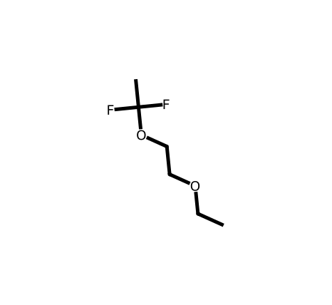 CCOCCOC(C)(F)F